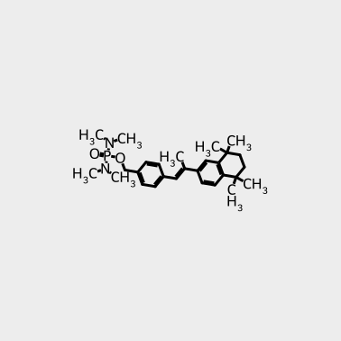 C/C(=C\c1ccc(COP(=O)(N(C)C)N(C)C)cc1)c1ccc2c(c1)C(C)(C)CCC2(C)C